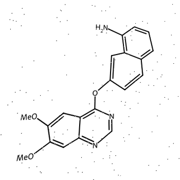 COc1cc2ncnc(Oc3ccc4cccc(N)c4c3)c2cc1OC